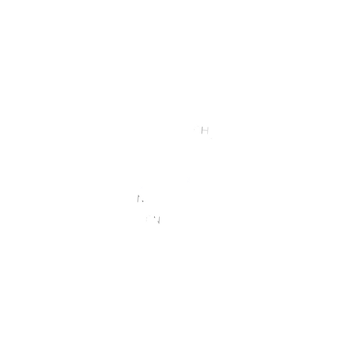 C=C/C=C\C=N/C#N